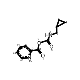 O=C(NCC1CC1)OC(=O)c1ccccn1